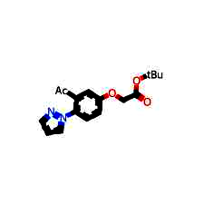 CC(=O)c1cc(OCC(=O)OC(C)(C)C)ccc1-n1cccn1